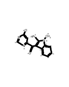 CCCc1c(C(=O)c2cc(Cl)ncn2)c2ccccc2n1C